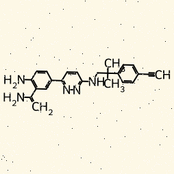 C#Cc1ccc(C(C)(C)CNc2ccc(-c3ccc(N)c(C(=C)N)c3)nn2)cc1